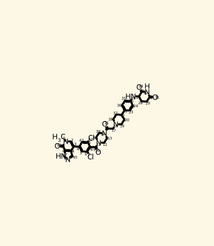 Cn1cc(-c2cc(Cl)c(C(=O)N3CCN(C(=O)CN4CCC(c5ccc(NC6CCC(=O)NC6=O)cc5)CC4)CC3)c(Cl)c2)c2cn[nH]c2c1=O